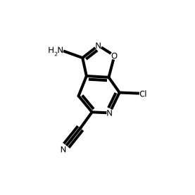 N#Cc1cc2c(N)noc2c(Cl)n1